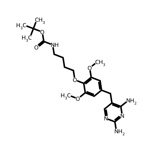 COc1cc(Cc2cnc(N)nc2N)cc(OC)c1OCCCCNC(=O)OC(C)(C)C